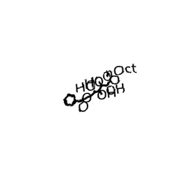 CCCCCCCCOC(=O)C(O)C(O)C(O)C(O)COC(=O)c1ccccc1